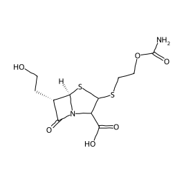 NC(=O)OCCSC1S[C@@H]2[C@@H](CCO)C(=O)N2C1C(=O)O